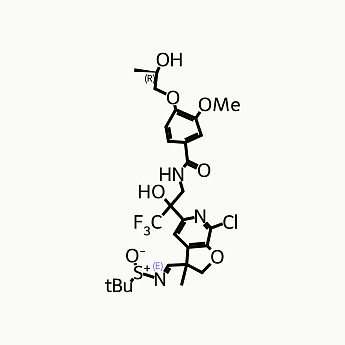 COc1cc(C(=O)NCC(O)(c2cc3c(c(Cl)n2)OCC3(C)/C=N/[S+]([O-])C(C)(C)C)C(F)(F)F)ccc1OC[C@@H](C)O